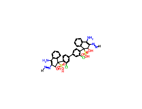 [H]/N=N/C1=C(N)c2ccccc2C(c2ccc(-c3ccc(C4(S(=O)(=O)O)c5ccccc5C(N)=C(/N=N/[H])C4O)c(Cl)c3)cc2Cl)(S(=O)(=O)O)C1O